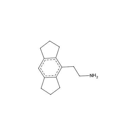 NCCc1c2c(cc3c1CCC3)CCC2